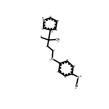 CC(C#N)(CCOc1ccc(SBr)cc1)c1cccnc1